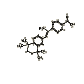 C/C(=C\c1ccc2c(c1)C(C)(C)CCC2(C)C)c1ccc(C(=O)O)cc1